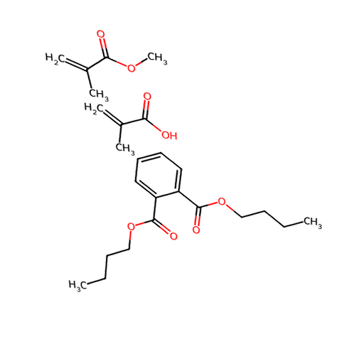 C=C(C)C(=O)O.C=C(C)C(=O)OC.CCCCOC(=O)c1ccccc1C(=O)OCCCC